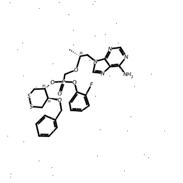 C[C@H](Cn1cnc2c(N)ncnc21)OCP(=O)(Oc1ccccc1F)O[C@H]1CSSC[C@@H]1OCc1ccccc1